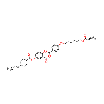 C=CC(=O)OCCCCCCOc1ccc(C(=O)Oc2ccc(OC(=O)C3CCC(CCC)CC3)cc2C=O)cc1